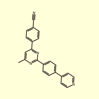 Cc1cc(-c2ccc(C#N)cc2)nc(-c2ccc(-c3ccncc3)cc2)n1